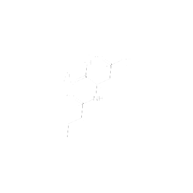 CCCC(=O)NC(CC(=O)O)C(=O)O.[Zn]